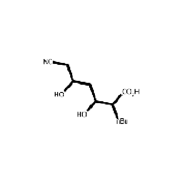 CCCCC(C(=O)O)C(O)CC(O)CC#N